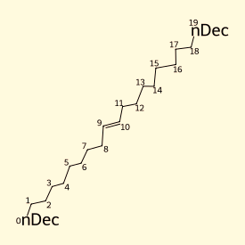 CCCCCCCCCCCCCCCCCC/C=C/CCCCCCCCCCCCCCCCCC